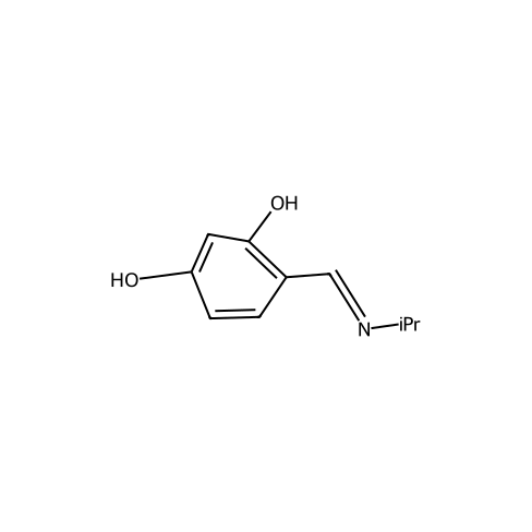 CC(C)/N=C/c1ccc(O)cc1O